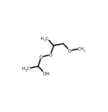 COCC(C)OOC(C)O